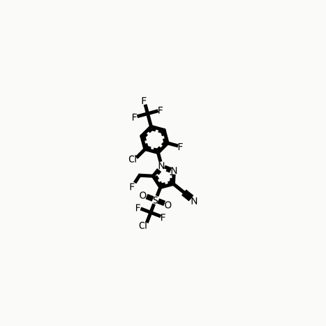 N#Cc1nn(-c2c(F)cc(C(F)(F)F)cc2Cl)c(CF)c1S(=O)(=O)C(F)(F)Cl